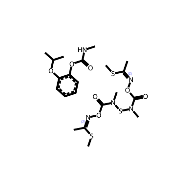 CNC(=O)Oc1ccccc1OC(C)C.CS/C(C)=N\OC(=O)N(C)SN(C)C(=O)O/N=C(/C)SC